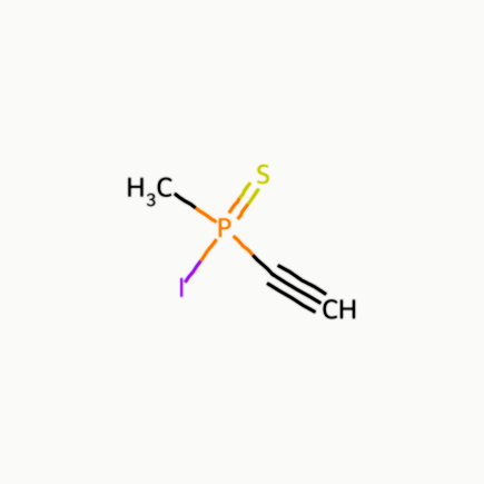 C#CP(C)(=S)I